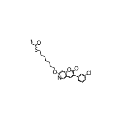 C=CC(=O)SCCCCCCCOc1cc2oc(=O)c(-c3cccc(Cl)c3)cc2cn1